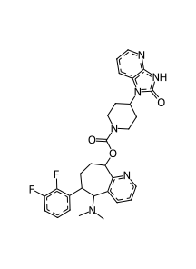 CN(C)C1c2cccnc2C(OC(=O)N2CCC(n3c(=O)[nH]c4ncccc43)CC2)CCC1c1cccc(F)c1F